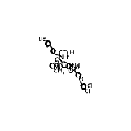 Cc1ccccc1S(=O)(=O)N1Cc2cc3c(cc2CC1C(=O)NC(Cc1ccc(-c2ccc(C#N)cc2)cc1)C(=O)O)NC(=O)C(c1ccc(OCc2ccc(Cl)c(Cl)c2)cc1)O3